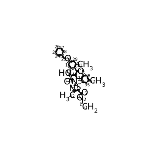 C=CCOC(=O)c1sc(N2C(=O)C(O)=C(C(=O)c3ccc(OCc4ccccc4)cc3C)C2c2ccc(C)cc2)nc1C